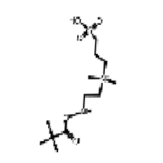 CC(C)(C)C(=O)ONCC[N+](C)(C)CCCS(=O)(=O)O